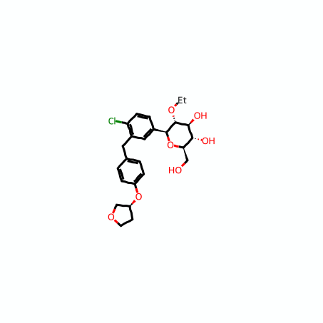 CCO[C@@H]1[C@@H](O)[C@H](O)[C@@H](CO)O[C@H]1c1ccc(Cl)c(Cc2ccc(O[C@H]3CCOC3)cc2)c1